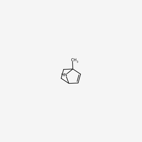 CC12C=CC(CC1)N2